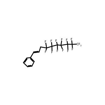 FC(F)(F)C(F)(F)C(F)(F)C(F)(F)C(F)(F)C(F)(F)C(F)(F)CC=Cc1ccccc1